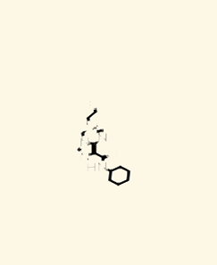 O=C(NC1CCCCC1)c1ncn2c1N=NN(CCCl)C2